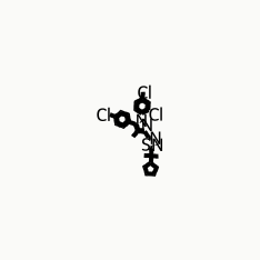 Cc1c(-c2nnc(C(C)(C)C3CCCC3)s2)nn(-c2ccc(Cl)cc2Cl)c1-c1ccc(Cl)cc1